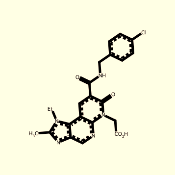 CCn1c(C)nc2cnc3c(cc(C(=O)NCc4ccc(Cl)cc4)c(=O)n3CC(=O)O)c21